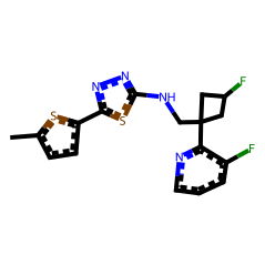 Cc1ccc(-c2nnc(NCC3(c4ncccc4F)CC(F)C3)s2)s1